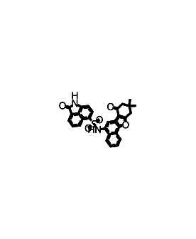 CC1(C)CC(=O)c2c(oc3c2cc(NS(=O)(=O)c2ccc4c5c(cccc25)C(=O)N4)c2ccccc23)C1